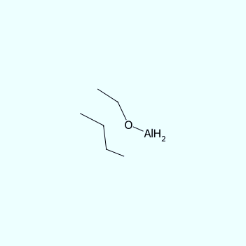 CCCC.CC[O][AlH2]